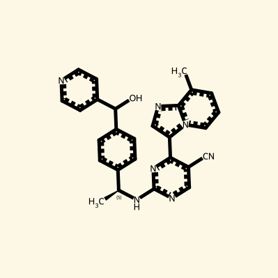 Cc1cccn2c(-c3nc(N[C@@H](C)c4ccc(C(O)c5ccncc5)cc4)ncc3C#N)cnc12